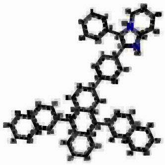 c1ccc(-c2c(-c3ccc(-c4ccc5c(-c6ccc7ccccc7c6)c6ccccc6c(-c6ccc7ccccc7c6)c5c4)cc3)nc3ccccn23)cc1